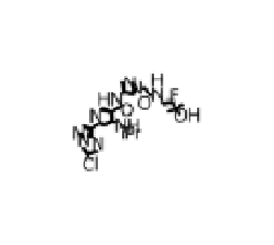 CC(C)Nc1cc(-c2cnn3cc(Cl)cnc23)ncc1C(=O)Nc1cnn(CC(=O)NC[C@@H](F)C(C)(C)O)c1